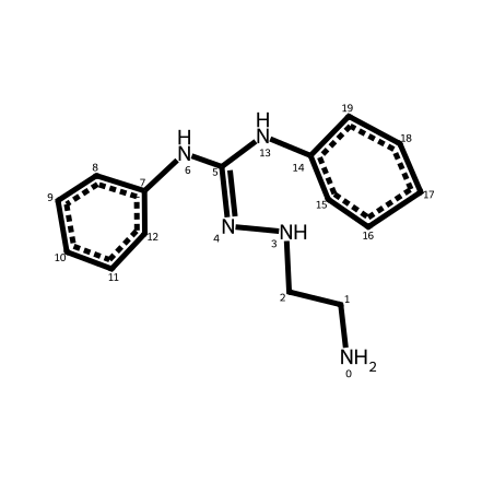 NCCNN=C(Nc1ccccc1)Nc1ccccc1